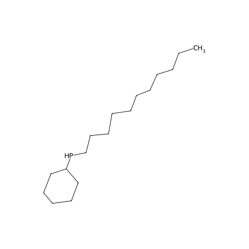 CCCCCCCCCCCPC1CCCCC1